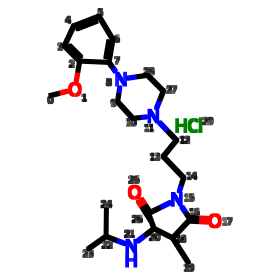 COc1ccccc1N1CCN(CCCN2C(=O)C(C)C(NC(C)C)C2=O)CC1.Cl